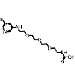 O=C(O)NCCOCCOCCOCCNc1cnnc(Br)c1